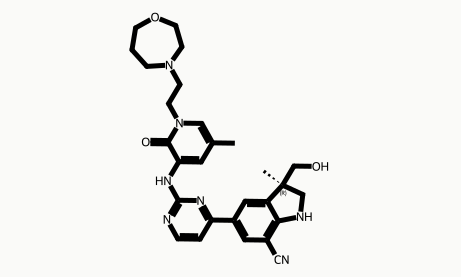 Cc1cc(Nc2nccc(-c3cc(C#N)c4c(c3)[C@@](C)(CO)CN4)n2)c(=O)n(CCN2CCCOCC2)c1